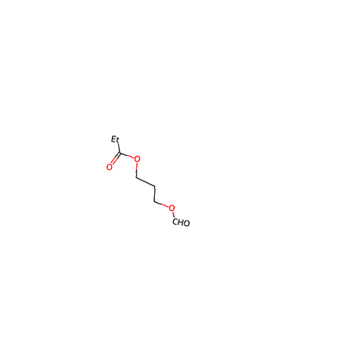 CCC(=O)OCCCOC=O